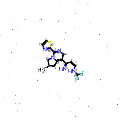 CC1CC2=C(C(=N)/C=C\NC(F)F)CN=C(c3nccs3)N2C1